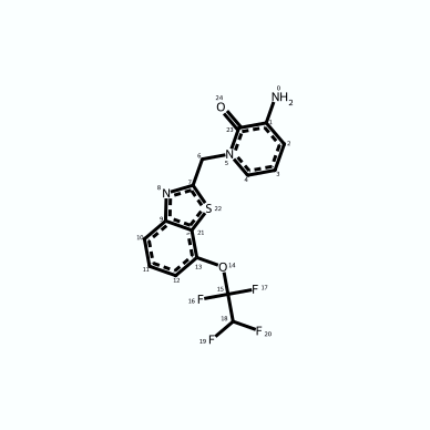 Nc1cccn(Cc2nc3cccc(OC(F)(F)C(F)F)c3s2)c1=O